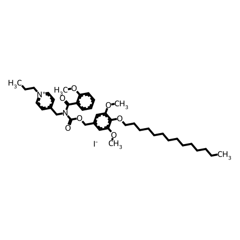 CCCCCCCCCCCCCCOc1c(OC)cc(COC(=O)N(Cc2cc[n+](CCC)cc2)C(=O)c2ccccc2OC)cc1OC.[I-]